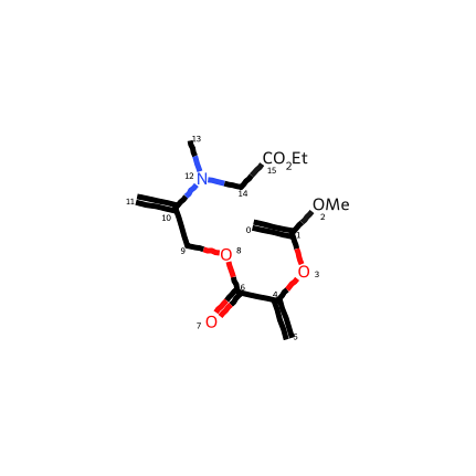 C=C(OC)OC(=C)C(=O)OCC(=C)N(C)CC(=O)OCC